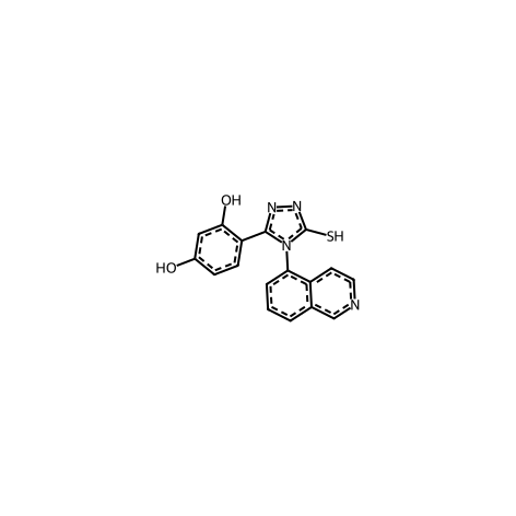 Oc1ccc(-c2nnc(S)n2-c2cccc3cnccc23)c(O)c1